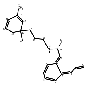 C=C/C=c1/cccc/c1=C\[C@@H](C)NCCCC1(C)C=C(C(F)(F)F)C=CC1